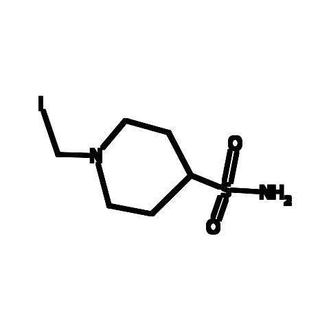 NS(=O)(=O)C1CCN(CI)CC1